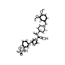 COc1ccc(CN2CCC(N(C)C(=O)n3cnc(-c4cccc(NS(C)(=O)=O)c4)c3)CC2)cc1OC.Cl